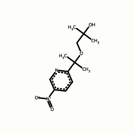 CC(C)(O)COC(C)(C)c1ccc([N+](=O)[O-])cn1